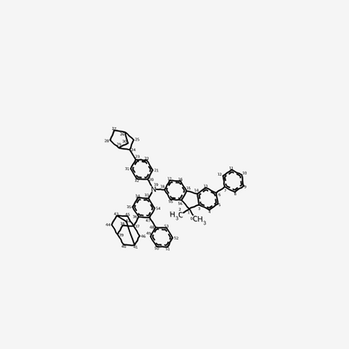 CC1(C)c2ccc(-c3ccccc3)cc2-c2ccc(N(c3ccc(C4CC5CCC4C5)cc3)c3ccc(C45CC6CC(CC(C6)C4)C5)c(-c4ccccc4)c3)cc21